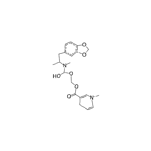 CC(Cc1ccc2c(c1)OCO2)N(C)C(O)OCOC(=O)C1=CN(C)C=CC1